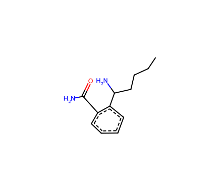 CCCCC(N)c1ccccc1C(N)=O